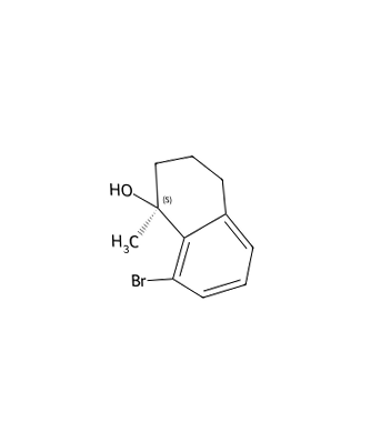 C[C@]1(O)CCCc2cccc(Br)c21